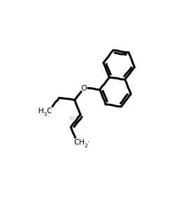 [CH2]/C=C/C(CC)Oc1cccc2ccccc12